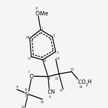 COc1ccc(C(C#N)(O[Si](C)(C)C)C(C)(C)CC(=O)O)cc1